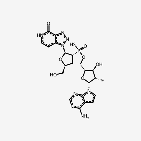 Nc1ncnc2c1ccn2[C@@H]1O[C@H](COP(=O)(S)[C@@H]2C[C@@H](CO)O[C@H]2n2nnc3c(=O)[nH]ccc32)[C@@H](O)[C@@H]1F